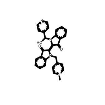 C[n+]1ccc(CN2/C(=C3\C(=O)c4ccccc4N3C(O)c3ccncc3)C(=O)c3ccccc32)cc1